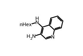 CCCCCCNc1c(N)cnc2ccccc12